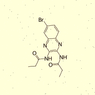 CCC(=O)Nc1nc2ccc(Br)cc2nc1NC(=O)CC